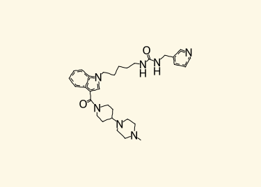 CN1CCN(C2CCN(C(=O)c3cn(CCCCCNC(=O)NCc4cccnc4)c4ccccc34)CC2)CC1